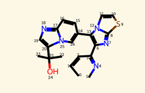 C/C=C\C(=N/C)c1nc2sccn2c1-c1ccc2ncc(C(C)(C)O)n2c1